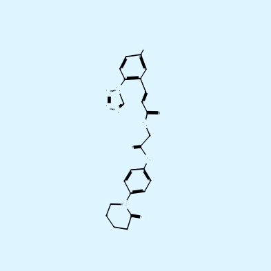 O=C(/C=C/c1cc(Cl)ccc1-n1cnnn1)NCC(=O)Nc1ccc(N2CCCCC2=O)cc1